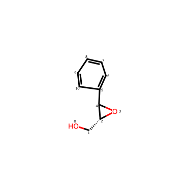 OC[C@H]1OC1c1ccccc1